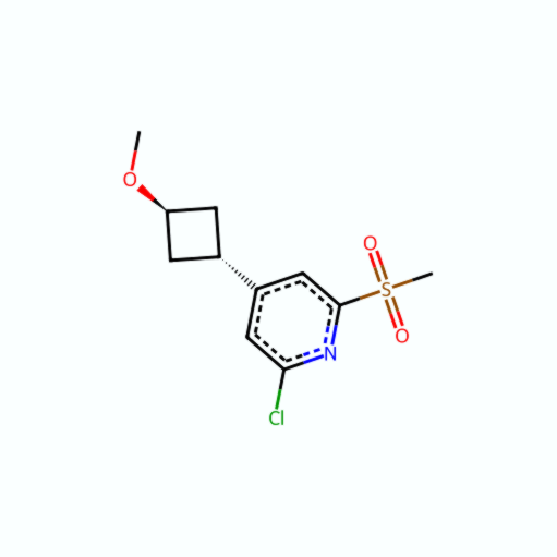 CO[C@H]1C[C@H](c2cc(Cl)nc(S(C)(=O)=O)c2)C1